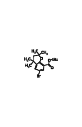 CC(C)(C)OC(=O)c1cc(Br)cc2c1OC(C)(C)CC2(C)C